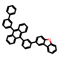 c1ccc(-c2cccc(-c3c4ccccc4c(-c4cccc(-c5ccc6oc7ccccc7c6c5)c4)c4ccccc34)c2)cc1